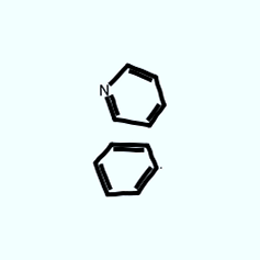 [c]1ccccc1.c1ccncc1